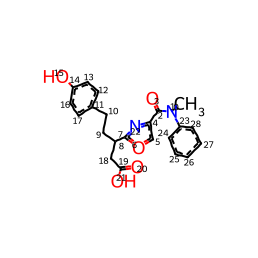 CN(C(=O)c1coc(C(CCc2ccc(O)cc2)CC(=O)O)n1)c1ccccc1